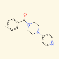 O=C(c1cc[c]cc1)N1CCN(c2ccncc2)CC1